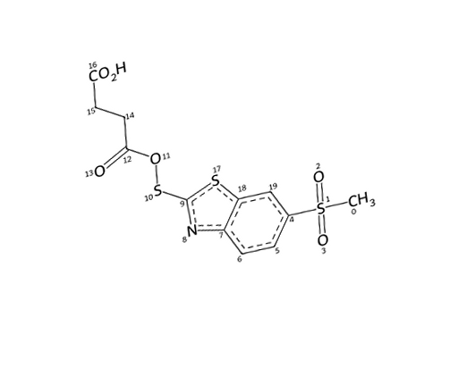 CS(=O)(=O)c1ccc2nc(SOC(=O)CCC(=O)O)sc2c1